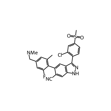 CNCc1cc(C)c(-c2cc3c(-c4ccc(S(C)(=O)=O)cc4Cl)n[nH]c3cc2C#N)c(F)c1